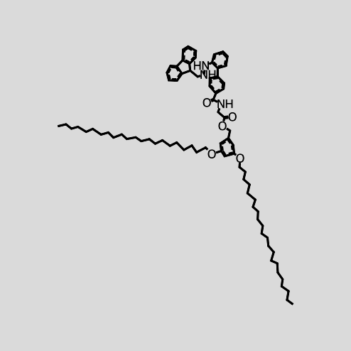 CCCCCCCCCCCCCCCCCCCCCCOc1cc(COC(=O)CNC(=O)c2ccc(-c3ccccc3NNCC3c4ccccc4-c4ccccc43)cc2)cc(OCCCCCCCCCCCCCCCCCCCCCC)c1